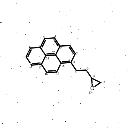 c1cc2ccc3ccc(CCC4CO4)c4ccc(c1)c2c34